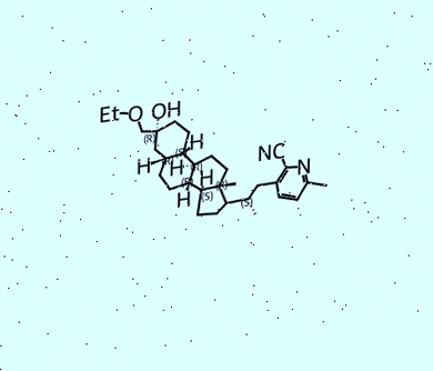 CCOC[C@@]1(O)CC[C@H]2[C@H](CC[C@@H]3[C@@H]2CC[C@]2(C)C([C@@H](C)Cc4ccc(C)nc4C#N)CC[C@@H]32)C1